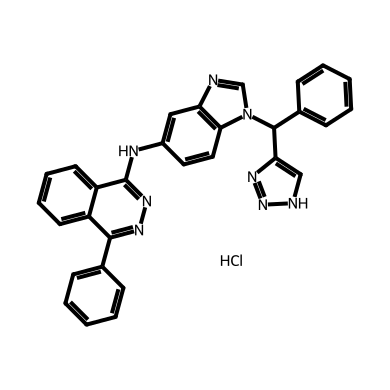 Cl.c1ccc(-c2nnc(Nc3ccc4c(c3)ncn4C(c3ccccc3)c3c[nH]nn3)c3ccccc23)cc1